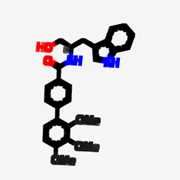 COc1ccc(-c2ccc(C(=O)N[C@@H](CO)Cc3c[nH]c4ccccc34)cc2)c(OC)c1OC